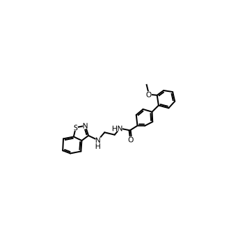 COc1ccccc1-c1ccc(C(=O)NCCNc2nsc3ccccc23)cc1